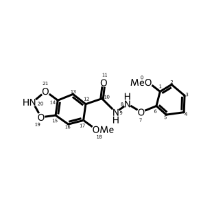 COc1ccccc1ONNC(=O)c1cc2c(cc1OC)ONO2